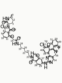 C=C1CCC(N2C(=O)c3cccc(OCC(=O)NCCCCCCNC(=O)c4ccc(Nc5ncc6c(n5)-c5ccc(Cl)cc5C(c5c(F)cccc5OC)=NC6)cc4OC)c3C2=O)C(=O)N1